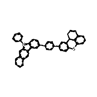 C1=Cc2cccc3c2C(C1)c1cc(-c2ccc(-c4ccc5c(c4)c4cc6ccccc6cc4n5-c4ccccc4)cc2)ccc1S3